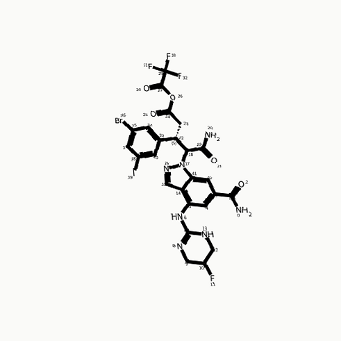 NC(=O)c1cc(NC2=NCC(F)CN2)c2cnn(C(C(N)=O)[C@@H](CC(=O)OC(=O)C(F)(F)F)c3cc(Br)cc(I)c3)c2c1